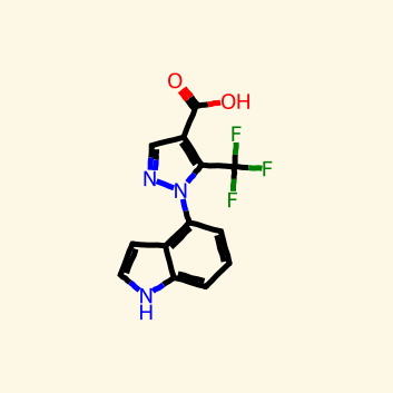 O=C(O)c1cnn(-c2cccc3[nH]ccc23)c1C(F)(F)F